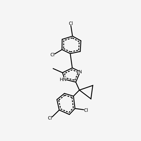 Cc1[nH]c(C2(c3ccc(Cl)cc3Cl)CC2)nc1-c1ccc(Cl)cc1Cl